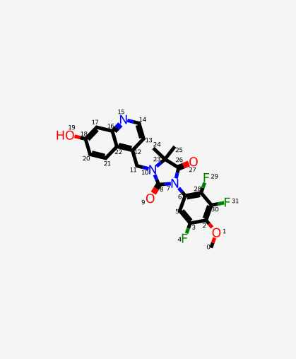 COc1c(F)cc(N2C(=O)N(Cc3ccnc4cc(O)ccc34)C(C)(C)C2=O)c(F)c1F